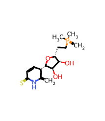 C=C1NC(=S)C=CC1[C@@H]1O[C@H](CCP(=C)(C)C)[C@@H](O)[C@H]1O